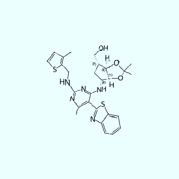 Cc1ccsc1CNc1nc(C)c(-c2nc3ccccc3s2)c(N[C@@H]2C[C@H](CO)[C@H]3OC(C)(C)O[C@H]32)n1